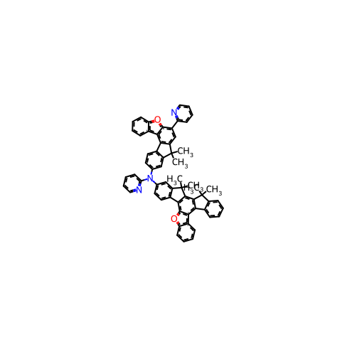 CC1(C)c2cc(N(c3ccc4c(c3)C(C)(C)c3c5c(c6c(oc7ccccc76)c3-4)-c3ccccc3C5(C)C)c3ccccn3)ccc2-c2c1cc(-c1ccccn1)c1oc3ccccc3c21